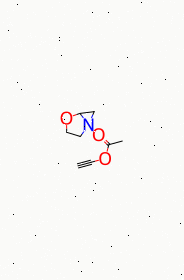 C#COC(C)=O.C1CN2CC2O1